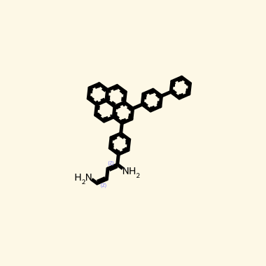 N/C=C\C=C(/N)c1ccc(-c2cc(-c3ccc(-c4ccccc4)cc3)c3ccc4cccc5ccc2c3c54)cc1